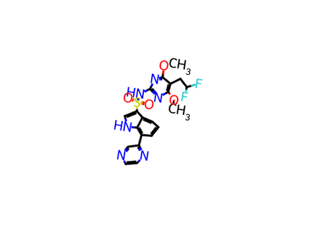 COc1nc(NS(=O)(=O)c2c[nH]c3c(-c4cnccn4)cccc23)nc(OC)c1CC(F)F